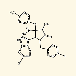 Cc1ccc(SC2(C(=O)O)C(C)C(=O)N(Cc3ccc(Cl)cc3)C2c2c[nH]c3cc(Cl)ccc23)cc1